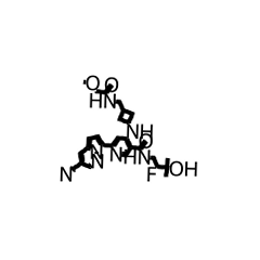 COCC(=O)NCC1CC(Nc2cc(-c3ccc4cc(C#N)cnn34)ncc2C(=O)NCC(F)C(C)(C)O)C1